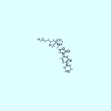 CCCCCC(C)(C)NC[C@H]1CN(c2ccc(N3CCOCC3)c(F)c2)C(=O)O1